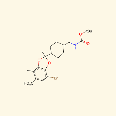 Cc1c(C(=O)O)cc(Br)c2c1OC(C)(C1CCC(CNC(=O)OC(C)(C)C)CC1)O2